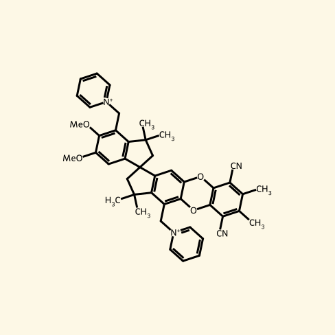 COc1cc2c(c(C[n+]3ccccc3)c1OC)C(C)(C)CC21CC(C)(C)c2c1cc1c(c2C[n+]2ccccc2)Oc2c(C#N)c(C)c(C)c(C#N)c2O1